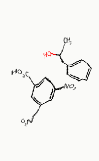 CC(O)c1ccccc1.O=C(O)c1cc([N+](=O)[O-])cc([N+](=O)[O-])c1